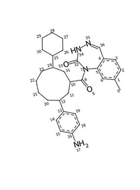 Cc1ccc2c(c1)N(C(=O)C1CC(c3ccc(N)cc3)CCCCC(C3CCCCC3)C1)C(=O)NN=C2